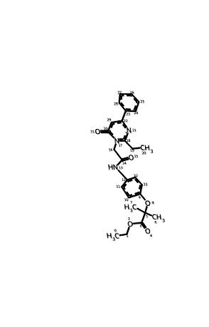 CCOC(=O)C(C)(C)Oc1ccc(NC(=O)Cn2c(CC)nc(-c3ccccc3)cc2=O)cc1